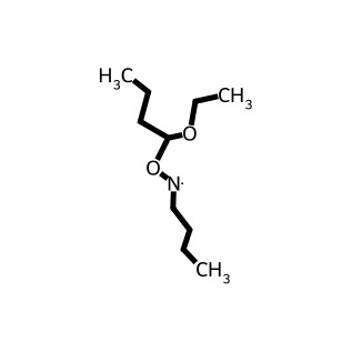 CCCC[N]OC(CCC)OCC